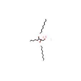 CCCCCCCCCOC(=O)C(CCCCC)C(O)(CC(=O)O)C(=O)OCCCCCCCCC